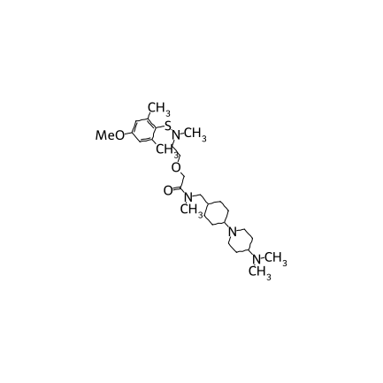 COc1cc(C)c(SN(C)CCOCC(=O)N(C)CC2CCC(N3CCC(N(C)C)CC3)CC2)c(C)c1